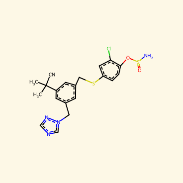 CC(C)(C#N)c1cc(CSc2ccc(OS(N)=O)c(Cl)c2)cc(Cn2cncn2)c1